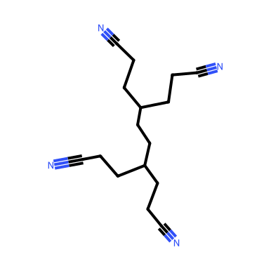 N#CCCC(CCC#N)CCC(CCC#N)CCC#N